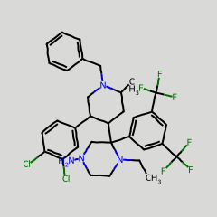 CCN1CCN(N)CC1(c1cc(C(F)(F)F)cc(C(F)(F)F)c1)C1CC(C)N(Cc2ccccc2)CC1c1ccc(Cl)c(Cl)c1